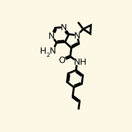 C/C=C/c1ccc(NC(=O)c2cn(C3(C)CC3)c3ncnc(N)c23)cc1